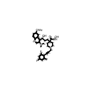 COc1ccc2ncc(N(C)C)c([C@H](O)CCC3(C(=O)NO)CCN(CC#Cc4c(F)cc(F)cc4F)CC3)c2c1